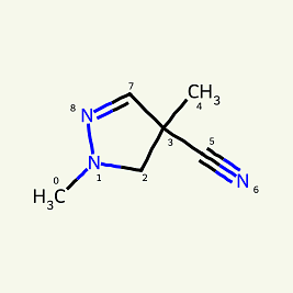 CN1CC(C)(C#N)C=N1